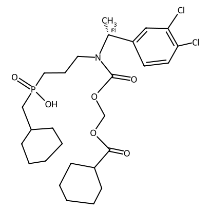 C[C@H](c1ccc(Cl)c(Cl)c1)N(CCCP(=O)(O)CC1CCCCC1)C(=O)OCOC(=O)C1CCCCC1